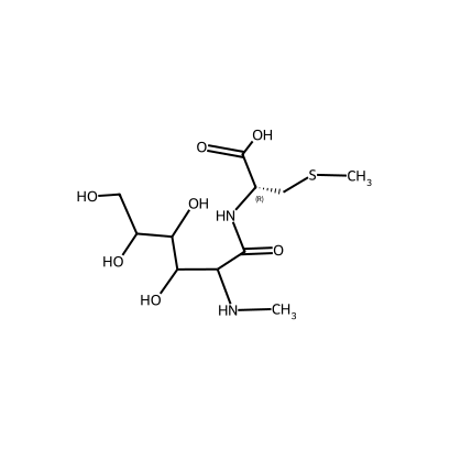 CNC(C(=O)N[C@@H](CSC)C(=O)O)C(O)C(O)C(O)CO